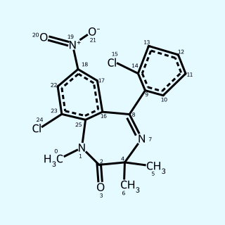 CN1C(=O)C(C)(C)N=C(c2ccccc2Cl)c2cc([N+](=O)[O-])cc(Cl)c21